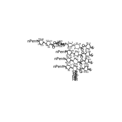 CCCCCc1ccc(C2CCC(C(=O)Oc3ccc([S])cc3)CC2)cc1.CCCCCc1ccc(C2CCC(C(=O)Oc3ccc([S])cc3)CC2)cc1.CCCCCc1ccc(C2CCC(C(=O)Oc3ccc([S])cc3)CC2)cc1.CCCCCc1ccc(C2CCC(C(=O)Oc3ccc([S])cc3)CC2)cc1.CCCCCc1ccc(C2CCC(C(=O)Oc3ccc([S])cc3)CC2)cc1.F.F.F.F.F